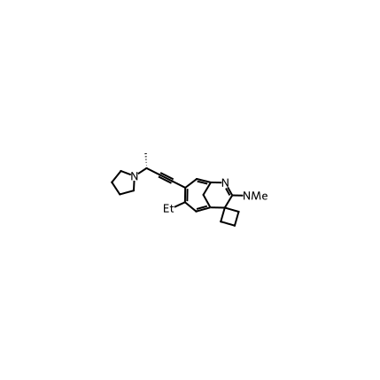 CCC1=C(C#C[C@@H](C)N2CCCC2)C=C2CC(=C1)C1(CCC1)C(NC)=N2